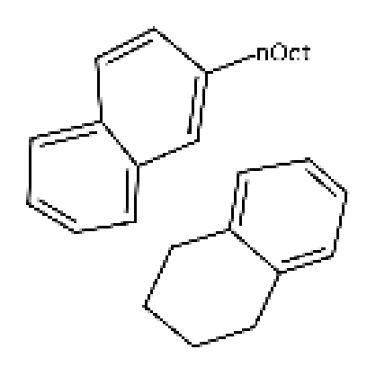 CCCCCCCCc1ccc2ccccc2c1.c1ccc2c(c1)CCCC2